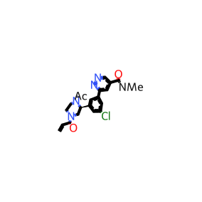 C=CC(=O)N1CCN(C(C)=O)[C@@H](c2cc(Cl)cc(-c3cc(C(=O)NC)cnn3)c2)C1